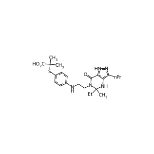 CCCc1n[nH]c2c1NC(C)(CC)N(CCNc1ccc(SC(C)(C)C(=O)O)cc1)C2=O